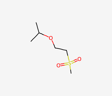 CC(C)OCCS(C)(=O)=O